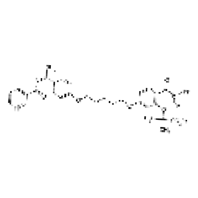 CCOC(=O)C(C)(C)Oc1cc(OCCCCCOc2ccc(/C(N)=N\C(=O)c3cccnc3)cc2)ccc1C(=O)N(C(C)C)C(C)C